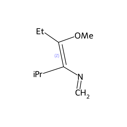 C=N/C(=C(/CC)OC)C(C)C